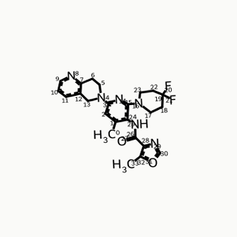 Cc1cc(N2CCc3ncccc3C2)nc(N2CCC(F)(F)CC2)c1NC(=O)c1ncoc1C